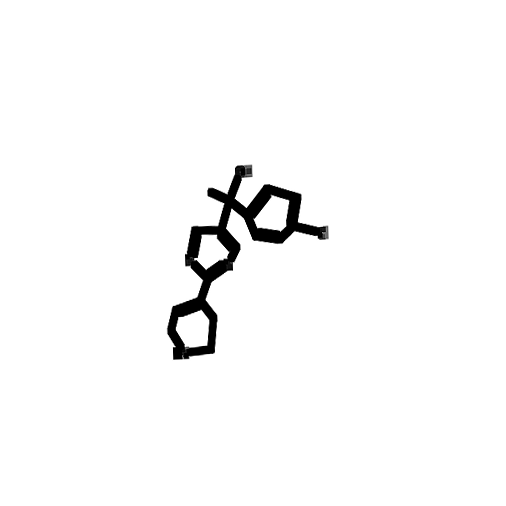 CC(O)(c1ccc(Cl)cc1)c1cnc(C2=CCNCC2)nc1